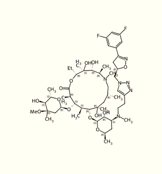 CC[C@H]1OC(=O)[C@H](C)[C@@H](O[C@H]2C[C@@](C)(OC)[C@@H](O)[C@H](C)O2)[C@H](C)[C@@H](O[C@@H]2O[C@H](C)C[C@H](N(C)CCc3cn(C[C@H]4CC(c5cc(F)cc(F)c5)=NO4)nn3)[C@H]2O)[C@](C)(O)C[C@@H](C)CN(C)[C@H](C)[C@@H](O)[C@]1(C)O